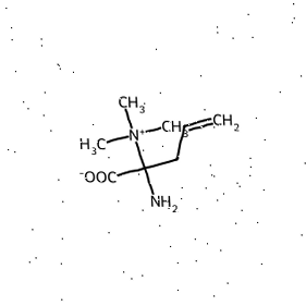 C=CCC(N)(C(=O)[O-])[N+](C)(C)C